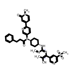 C=N/C(=N\C(=C(/C)C#N)c1cncc(S(C)(=O)=O)c1)N[C@H]1CC[C@H](N(C(=O)CCc2ccccc2)c2ccc(-c3ccn(C)c(=O)c3)nc2)CC1